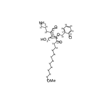 COCCCCCCCCCCCC(=O)N(OCc1ccccc1Cl)[C@@H](C(=O)O)C(=C=O)CCCN